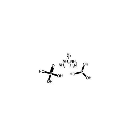 N.N.N.N.N.O=P(O)(O)O.OP(O)O